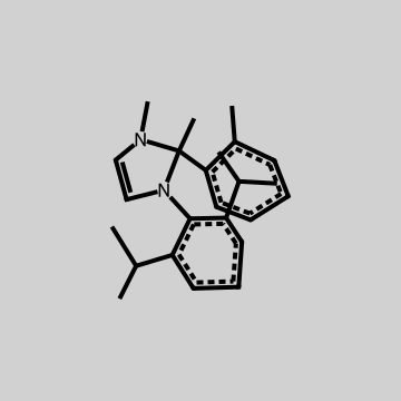 Cc1ccccc1C1(C)N(C)C=CN1c1c(C(C)C)cccc1C(C)C